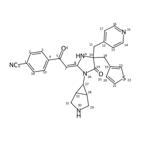 N#Cc1ccc(C(=O)C=C2NC(Cc3ccncc3)(Cc3ccsc3)C(=O)N2C2C3CNCC32)cc1